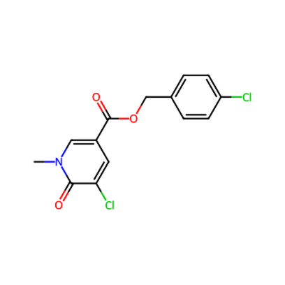 Cn1cc(C(=O)OCc2ccc(Cl)cc2)cc(Cl)c1=O